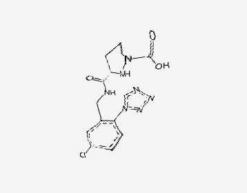 O=C(NCc1cc(Cl)ccc1-n1cnnn1)[C@@H]1CCN(C(=O)O)N1